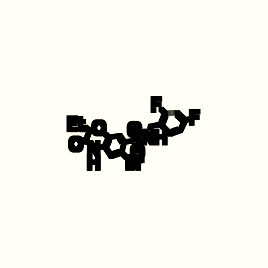 CCC1Oc2cc(S(=O)(=O)NCc3ccc(F)cc3F)c(Br)cc2NC1=O